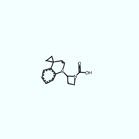 O=C(O)N1CCC1N1C=CC2(CC2)c2ccccc21